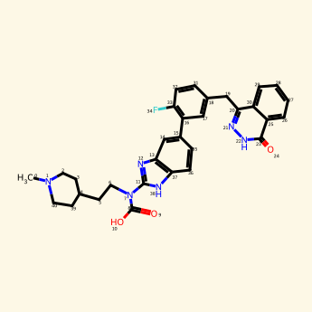 CN1CCC(CCN(C(=O)O)c2nc3cc(-c4cc(Cc5n[nH]c(=O)c6ccccc56)ccc4F)ccc3[nH]2)CC1